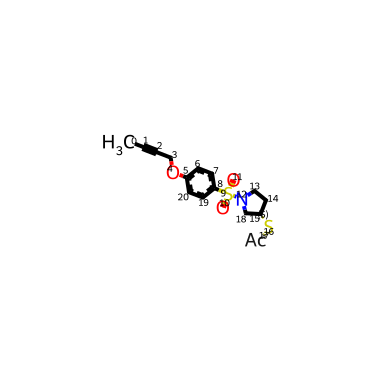 CC#CCOc1ccc(S(=O)(=O)N2CC[C@H](SC(C)=O)C2)cc1